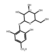 O=C(O)c1cc(O)c(OC2OC(CO)C(O)[C@H](O)C2O)c(O)c1